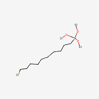 CCO[Si](CCCCCCCCCCBr)(OCC)OCC